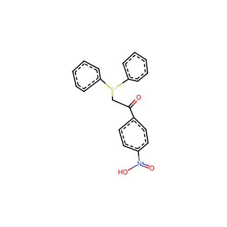 O=C(C[S+](c1ccccc1)c1ccccc1)c1ccc([N+](=O)O)cc1